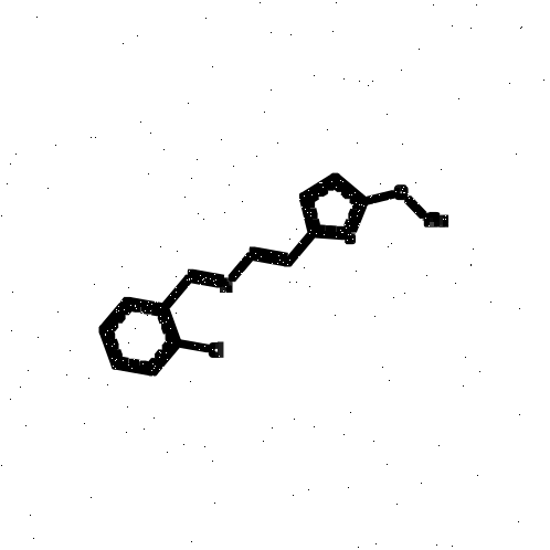 CC(C)(C)Oc1ccc(C=CN=Cc2ccccc2Cl)s1